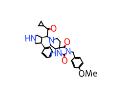 COc1ccc(CN2C(=O)NC3(CCN(C(C(=O)C4CC4)[C@@H]4CNC[C@@H]4c4ccccc4)CC3)C2=O)cc1